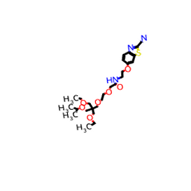 CCOCC(COCC)(COCCOCC(=O)NCCOc1ccc2nc(C#N)sc2c1)COC(C)C